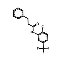 O=C(CCc1ccccc1)Nc1cc(C(F)(F)F)ccc1Cl